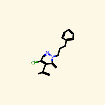 C=C(C)C1=C(Cl)C=NN(CCCc2ccccc2)C1=C